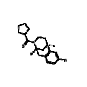 C[C@]12CCN(C(=O)C3CCCC3)[C@@H](Cc3ccc(O)cc31)C2